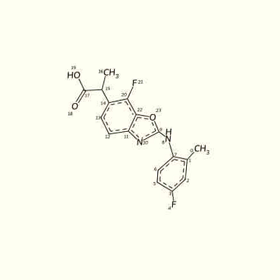 Cc1cc(F)ccc1Nc1nc2ccc(C(C)C(=O)O)c(F)c2o1